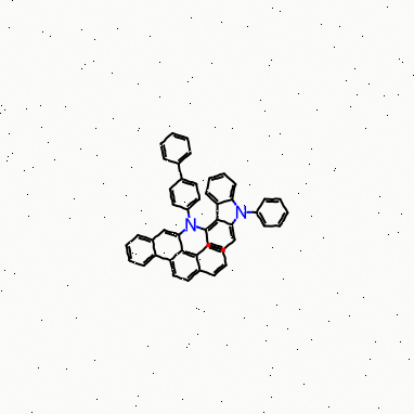 c1ccc(-c2ccc(N(c3cc4ccccc4c4ccc5ccccc5c34)c3cccc4c3c3ccccc3n4-c3ccccc3)cc2)cc1